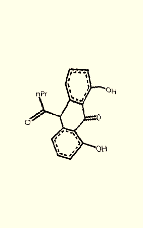 CCCC(=O)C1c2cccc(O)c2C(=O)c2c(O)cccc21